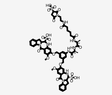 COc1cc2c(cc1OCc1cc(COc3cc4c(cc3OC)C(=O)N3c5ccccc5CC3[C@@H](S(=O)(=O)O)N4)cc(NC(=O)[C@H](C)NC(=O)[C@H](C)NC(=O)CCCCC(=O)NCCN3C(=O)CC(S(=O)(=O)O)C3=O)c1)NC(S(=O)(=O)O)C1Cc3ccccc3N1C2=O